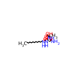 CCCCCCCCCCCCNC(=O)N[C@H](CC(N)=O)C(=O)N[C@@H](C)C(=O)O